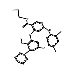 CCONC(=O)c1cnc(Nc2ncc(F)cc2F)cc1Nc1cc(F)cc(-c2ncccn2)c1OC